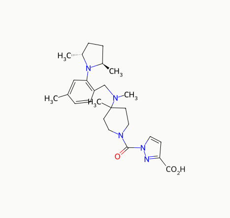 Cc1ccc(CN(C)C2(C)CCN(C(=O)n3ccc(C(=O)O)n3)CC2)c(N2[C@H](C)CC[C@H]2C)c1